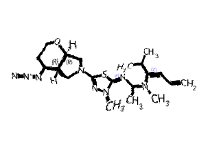 C=C/C=C(/C(C)C)N(C)C(C)/N=c1/sc(N2C[C@@H]3OCCC(N=[N+]=[N-])[C@H]3C2)nn1C